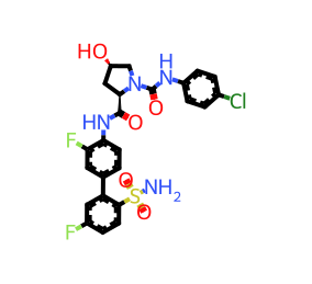 NS(=O)(=O)c1ccc(F)cc1-c1ccc(NC(=O)[C@H]2C[C@@H](O)CN2C(=O)Nc2ccc(Cl)cc2)c(F)c1